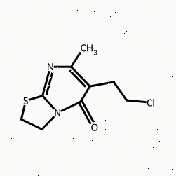 Cc1nc2n(c(=O)c1CCCl)CCS2